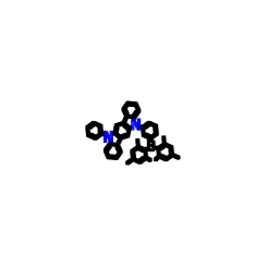 Cc1cc(C)c(B(c2cccc(-n3c4ccccc4c4cc5c(cc43)c3ccccc3n5-c3ccccc3)c2)c2c(C)cc(C)cc2C)c(C)c1